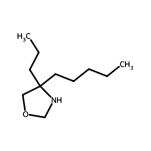 CCCCCC1(CCC)COCN1